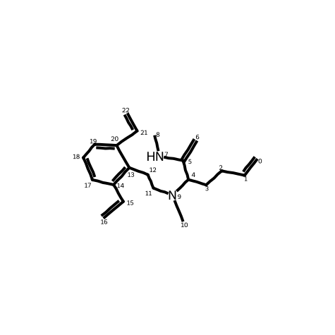 C=CCCC(C(=C)NC)N(C)CCc1c(C=C)cccc1C=C